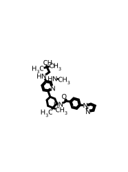 CNc1nc(C2CCC(C)(C)C(NC(=O)c3ccc(-n4cccn4)cc3)C2)ccc1NCC(C)(C)C